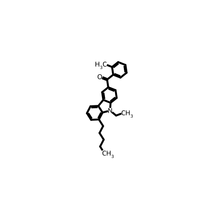 CCCCCc1cccc2c3cc(C(=O)c4ccccc4C)ccc3n(CC)c12